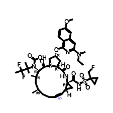 CCN(C)c1cc2cc(OC)ccc2c(O[C@@H]2C[C@H]3C(=O)N[C@]4(C(=O)NS(=O)(=O)C5(CF)CC5)C[C@H]4/C=C\CC[C@@H](C)C[C@@H](C)[C@H](N(C(=O)O)C(C)(C)C(C)(F)F)C(=O)N3C2)n1